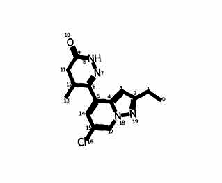 CCc1cc2c(C3=NNC(=O)CC3C)cc(Cl)cn2n1